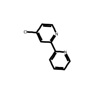 Clc1ccnc(-c2ccccn2)c1